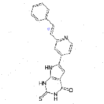 O=c1[nH]c(=S)[nH]c2[nH]c(-c3ccnc(/C=C/c4ccccc4)c3)cc12